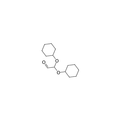 O=CC(OC1CCCCC1)OC1CCCCC1